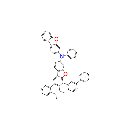 CCc1ccccc1-c1cc2c(oc3cc(N(c4ccccc4)c4ccc5c(c4)oc4ccccc45)ccc32)c(-c2cccc(-c3ccccc3)c2)c1CC